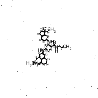 C=CCNC(=O)c1cnc(Nc2cc3c4c(c2)CN(C)CC4(C)CCC3)nc1Nc1ccc2c(n1)C(O)(CC)CC2